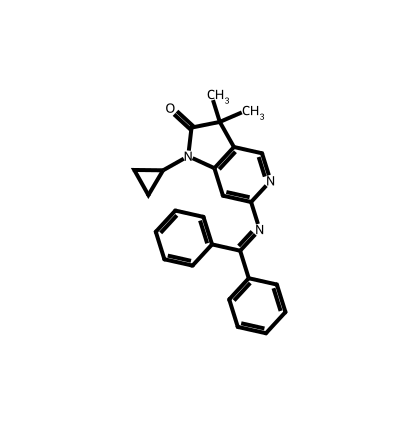 CC1(C)C(=O)N(C2CC2)c2cc(N=C(c3ccccc3)c3ccccc3)ncc21